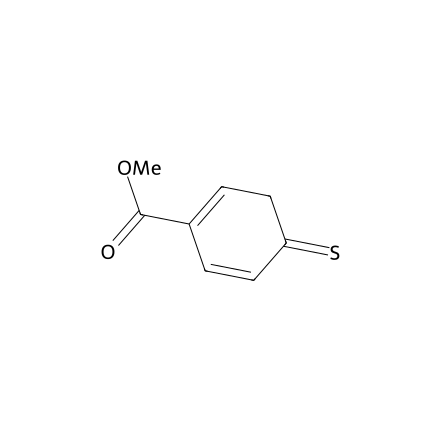 COC(=O)C1=CCC(=S)C=C1